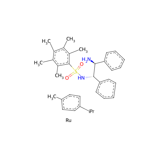 Cc1c(C)c(C)c(S(=O)(=O)N[C@@H](c2ccccc2)[C@@H](N)c2ccccc2)c(C)c1C.Cc1ccc(C(C)C)cc1.[Ru]